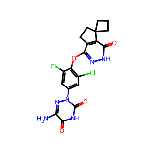 Nc1nn(-c2cc(Cl)c(Oc3n[nH]c(=O)c4c3CCC43CCC3)c(Cl)c2)c(=O)[nH]c1=O